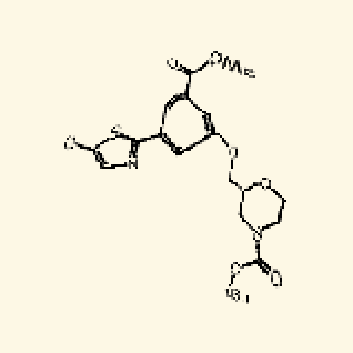 COC(=O)c1cc(OC[C@@H]2CN(C(=O)OC(C)(C)C)CCO2)cc(-c2ncc(Cl)s2)c1